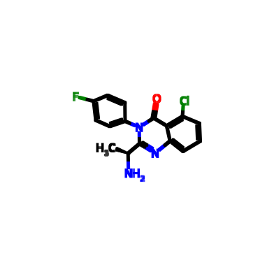 C[C@H](N)c1nc2cccc(Cl)c2c(=O)n1-c1ccc(F)cc1